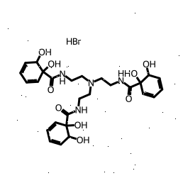 Br.O=C(NCCN(CCNC(=O)C1(O)C=CC=CC1O)CCNC(=O)C1(O)C=CC=CC1O)C1(O)C=CC=CC1O